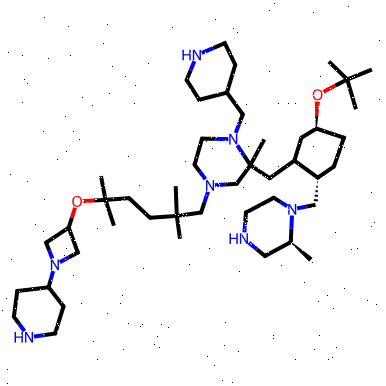 C[C@H]1CNCCN1C[C@H]1CC[C@H](OC(C)(C)C)CC1CC1(C)CN(CC(C)(C)CCC(C)(C)OC2CN(C3CCNCC3)C2)CCN1CC1CCNCC1